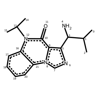 CC(C)C(N)c1ncn2c1c(=O)n(C(C)C)c1ccccc12